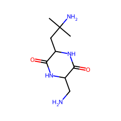 CC(C)(N)CC1NC(=O)C(CN)NC1=O